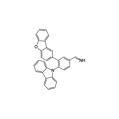 N=Cc1ccc(-n2c3ccccc3c3ccccc32)c(-c2ccc3oc4ccccc4c3c2)c1